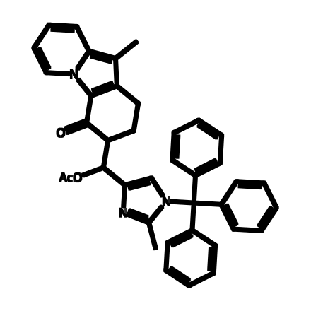 CC(=O)OC(c1cn(C(c2ccccc2)(c2ccccc2)c2ccccc2)c(C)n1)C1CCc2c(C)c3ccccn3c2C1=O